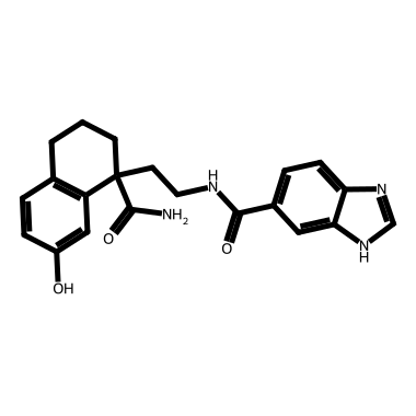 NC(=O)C1(CCNC(=O)c2ccc3nc[nH]c3c2)CCCc2ccc(O)cc21